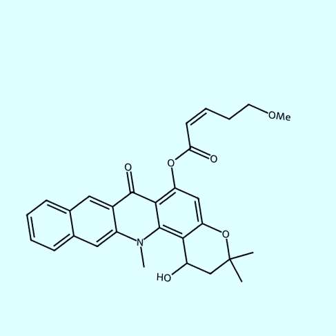 COCC/C=C\C(=O)Oc1cc2c(c3c1c(=O)c1cc4ccccc4cc1n3C)C(O)CC(C)(C)O2